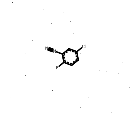 N#[N+]c1cc(Cl)ccc1F